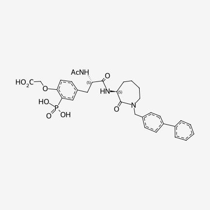 CC(=O)N[C@@H](Cc1ccc(OCC(=O)O)c(P(=O)(O)O)c1)C(=O)N[C@H]1CCCCN(Cc2ccc(-c3ccccc3)cc2)C1=O